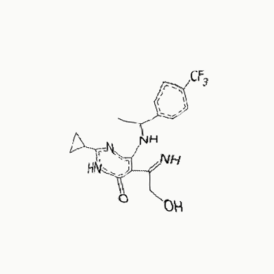 CC(Nc1nc(C2CC2)[nH]c(=O)c1C(=N)CO)c1ccc(C(F)(F)F)cc1